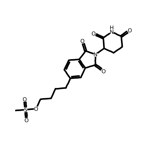 CS(=O)(=O)OCCCCc1ccc2c(c1)C(=O)N(C1CCC(=O)NC1=O)C2=O